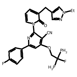 CCn1cc(Cc2cccn(-c3nc(-c4ccc(F)cc4)cc(OCC(F)(P)P)c3C#N)c2=O)cn1